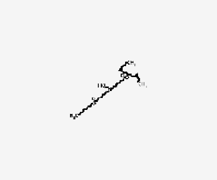 CCCCCCCCCOC(=O)CCCCCCCN(CCO)CCCCCCCC(=O)OC(CCC1CC1CCC)CCC1CC1CCCC